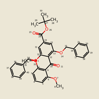 COc1cccc(OC)c1C(=O)c1c(OCc2ccccc2)cc(C(=O)OC(C)(C)C)cc1OCc1ccccc1